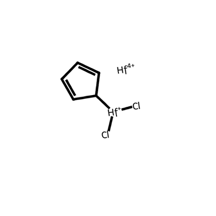 [Cl][Hf+]([Cl])[CH]1C=CC=C1.[Hf+4]